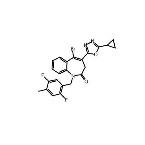 Cc1cc(F)c(CN2C(=O)CC(c3nnc(C4CC4)o3)=C(Br)c3ccccc32)cc1F